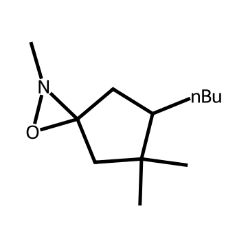 CCCCC1CC2(CC1(C)C)ON2C